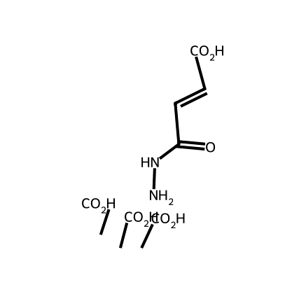 CC(=O)O.CC(=O)O.CC(=O)O.NNC(=O)C=CC(=O)O